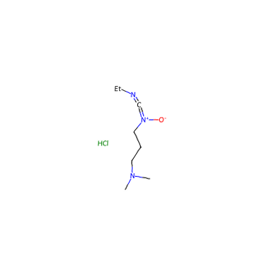 CCN=C=[N+]([O-])CCCN(C)C.Cl